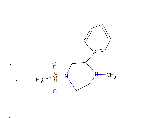 CN1CCN(S(C)(=O)=O)CC1c1ccccc1